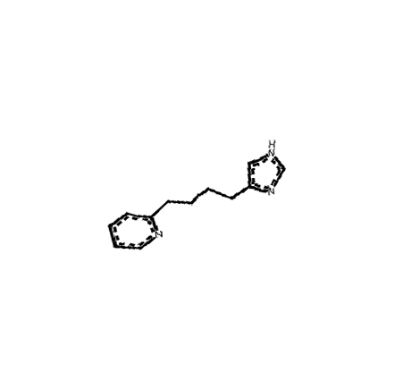 [CH](CCc1c[nH]cn1)Cc1ccccn1